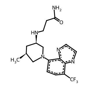 C[C@H]1C[C@@H](NCCC(N)=O)CN(c2ccc(C(F)(F)F)c3nccnc23)C1